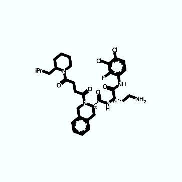 CC(C)CC1CCCCN1C(=O)CCC(=O)N1Cc2ccccc2C[C@H]1C(=O)N[C@@H](CCN)C(=O)Nc1ccc(Cl)c(Cl)c1F